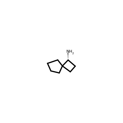 N[C@@H]1CCC12CCCC2